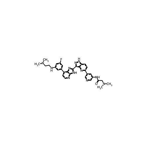 CN(C)CCNc1cc(F)cc(-c2ccnc3[nH]c(-c4n[nH]c5ccc(-c6cncc(NC(=O)CN(C)C)c6)nc45)nc23)c1